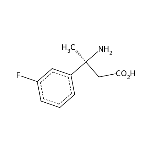 C[C@](N)(CC(=O)O)c1cccc(F)c1